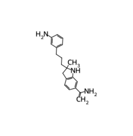 C=C(N)c1ccc2c(c1)NC(C)(CCCc1cccc(N)c1)C2